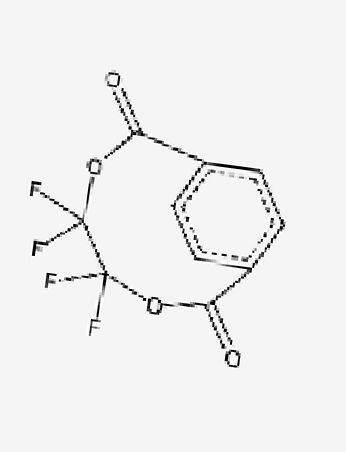 O=C1OC(F)(F)C(F)(F)OC(=O)c2ccc1cc2